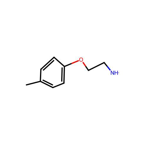 Cc1ccc(OCC[NH])cc1